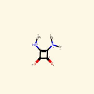 CCCNc1c(N(CC)CC)c(=O)c1=O